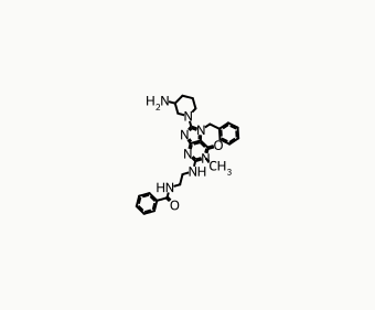 Cn1c(NCCNC(=O)c2ccccc2)nc2nc(N3CCCC(N)C3)n(Cc3ccccc3)c2c1=O